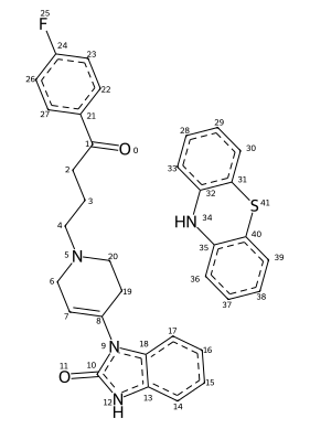 O=C(CCCN1CC=C(n2c(=O)[nH]c3ccccc32)CC1)c1ccc(F)cc1.c1ccc2c(c1)Nc1ccccc1S2